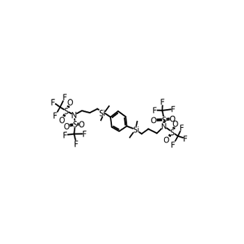 C[Si](C)(CCCN(S(=O)(=O)C(F)(F)F)S(=O)(=O)C(F)(F)F)c1ccc([Si](C)(C)CCCN(S(=O)(=O)C(F)(F)F)S(=O)(=O)C(F)(F)F)cc1